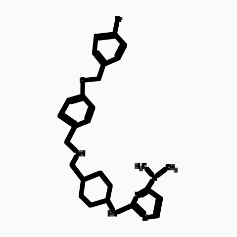 CN(C)c1ccnc(NC2CCC(CNCc3ccc(OCc4ccc(Br)cc4)cc3)CC2)n1